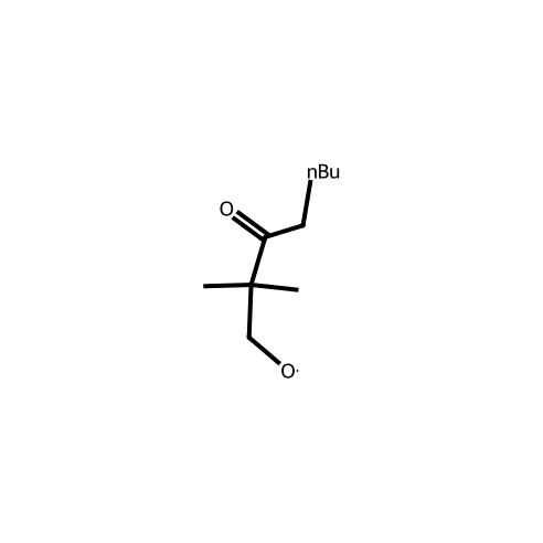 CCCCCC(=O)C(C)(C)C[O]